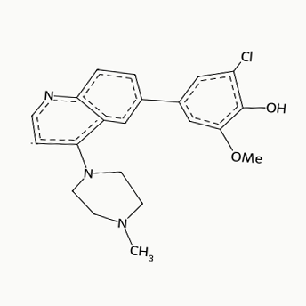 COc1cc(-c2ccc3nc[c]c(N4CCN(C)CC4)c3c2)cc(Cl)c1O